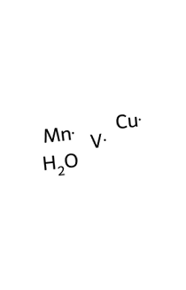 O.[Cu].[Mn].[V]